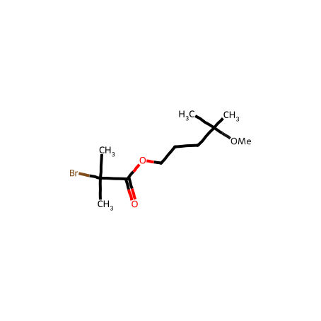 COC(C)(C)CCCOC(=O)C(C)(C)Br